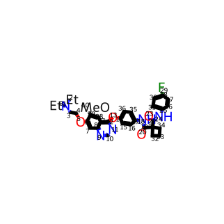 CCN(CC)CCOc1cc2ncnc(Oc3ccc(NC(=O)C4(C(=O)Nc5ccc(F)cc5)CCC4)cc3)c2cc1OC